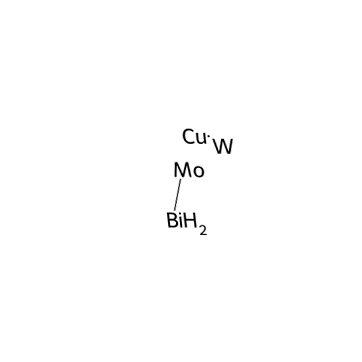 [Cu].[Mo][BiH2].[W]